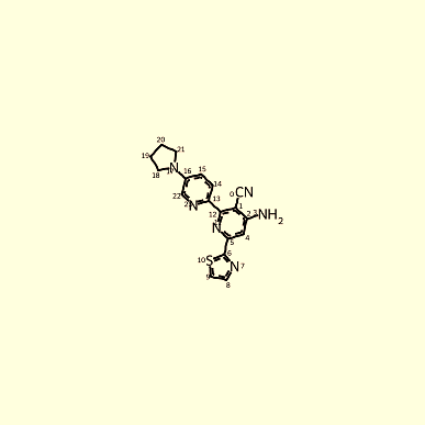 N#Cc1c(N)cc(-c2nccs2)nc1-c1ccc(N2CCCC2)cn1